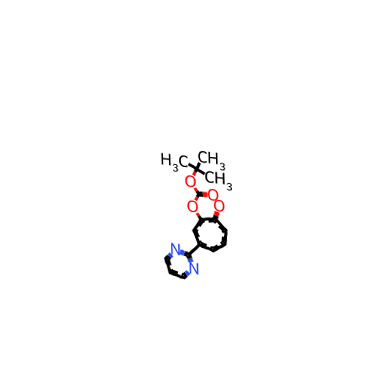 CC(C)(C)OC(=O)Oc1cc(-c2ncccn2)cccc1=O